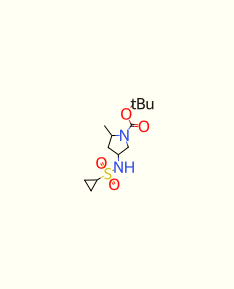 CC1CC(NS(=O)(=O)C2CC2)CN1C(=O)OC(C)(C)C